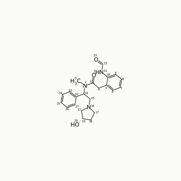 CN(C(=O)Cc1ccccc1NC=O)C(CN1CC[C@H](O)C1)c1ccccc1